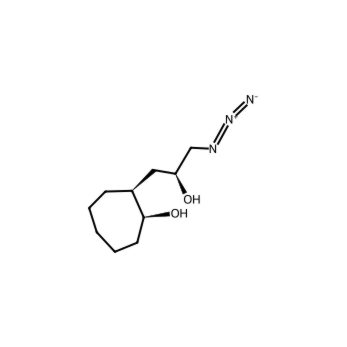 [N-]=[N+]=NC[C@@H](O)C[C@@H]1CCCCC[C@@H]1O